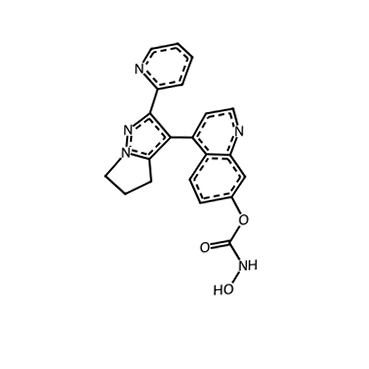 O=C(NO)Oc1ccc2c(-c3c(-c4ccccn4)nn4c3CCC4)ccnc2c1